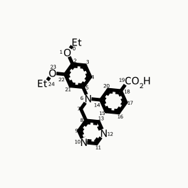 CCOc1ccc(N(Cc2cncnc2)c2cccc(C(=O)O)c2)cc1OCC